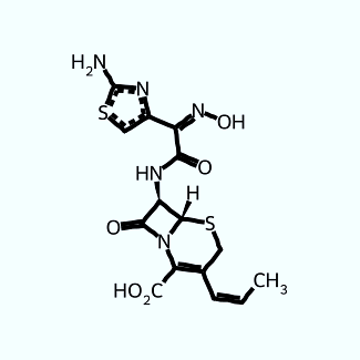 C/C=C\C1=C(C(=O)O)N2C(=O)[C@@H](NC(=O)/C(=N\O)c3csc(N)n3)[C@@H]2SC1